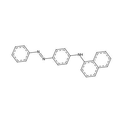 c1ccc(/N=N/c2ccc(Nc3cccc4ccccc34)cc2)cc1